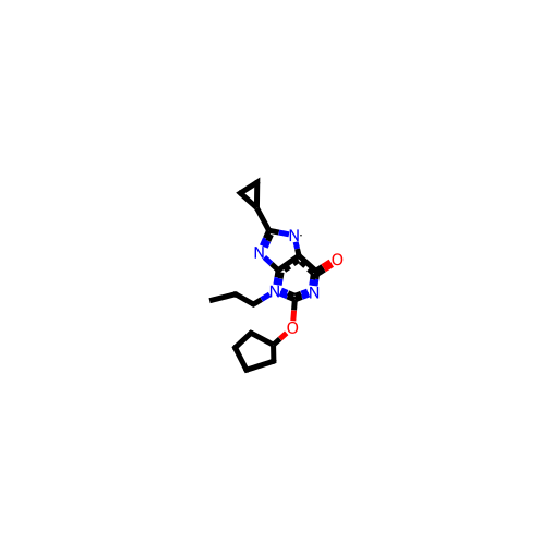 CCCn1c(OC2CCCC2)nc(=O)c2c1N=C(C1CC1)[N]2